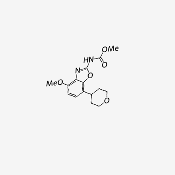 COC(=O)Nc1nc2c(OC)ccc(C3CCOCC3)c2o1